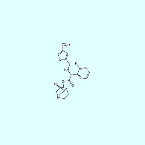 O=C(O)c1csc(CNC(C(=O)O[C@H]2CN3CCC2CC3)c2ccccc2F)c1